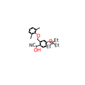 CC[Si](CC)(CC)Oc1ccc(C(O)C#N)c(COc2c(C)cccc2C)c1